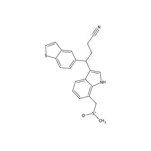 C[S+]([O-])Cc1cccc2c(C(CCC#N)c3ccc4sccc4c3)c[nH]c12